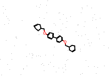 C1=CCC(COc2ccc(-c3ccc(OCC4CC=CCC4)cc3)cc2)CC1